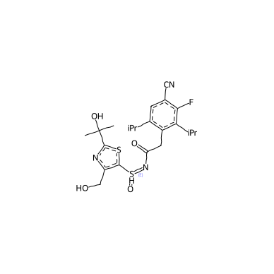 CC(C)c1cc(C#N)c(F)c(C(C)C)c1CC(=O)/N=[SH](=O)\c1sc(C(C)(C)O)nc1CO